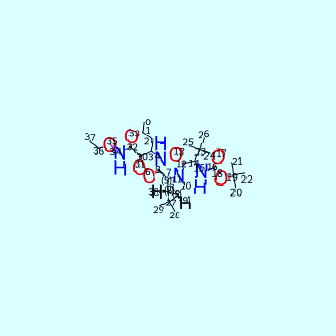 CCCC(NC(=O)[C@@H]1[C@@H]2[C@H](CN1C(=O)C(NC(=O)OC(C)(C)C)C(C)(C)C)C2(C)C)C(=O)C(=O)NOCC